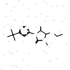 CCOC1C(O)N(c2cc(C(C)(C)C)on2)C(=O)N1C